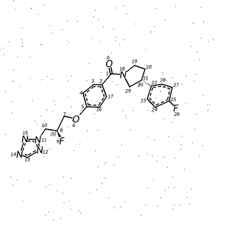 O=C(c1ccc(OC[C@@H](F)Cn2ncnn2)cc1)N1CC[C@H](c2ccc(F)cc2)C1